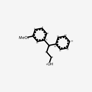 COc1cccc(C(CCO)c2ccccc2)c1